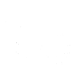 CC1(C)OB(c2cnn(CC3OCCO3)c2)OC1(C)C